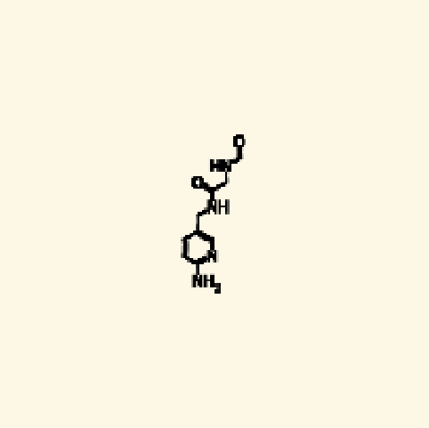 Nc1ccc(CNC(=O)CNC=O)cn1